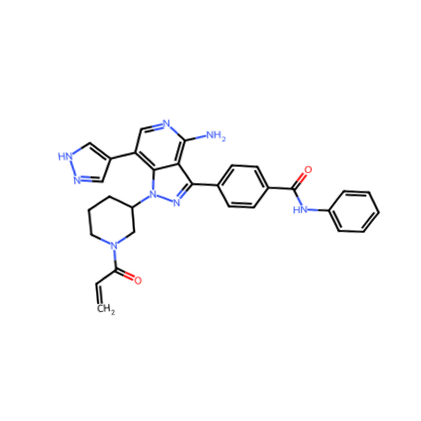 C=CC(=O)N1CCCC(n2nc(-c3ccc(C(=O)Nc4ccccc4)cc3)c3c(N)ncc(-c4cn[nH]c4)c32)C1